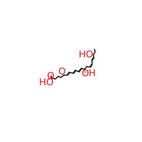 CCC(O)/C=C/C=C\C[C@@H](O)/C=C/C=C/C=C/C(=O)CCCC(=O)O